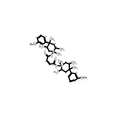 COc1cccc(C2(C)CC(C)[N+](C)(OC(=O)/C=C\C(=O)O[N+]3(C)CC(C)C(C)(c4cccc(OC)c4)CC3C)CC2C)c1